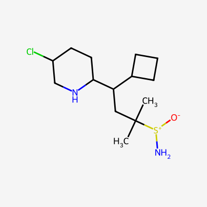 CC(C)(CC(C1CCC1)C1CCC(Cl)CN1)[S+](N)[O-]